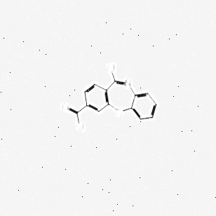 O=C(Cl)c1ccc2c(c1)Sc1ccccc1N=C2Cl